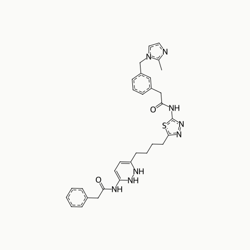 Cc1nccn1Cc1cccc(CC(=O)Nc2nnc(CCCCC3=CC=C(NC(=O)Cc4ccccc4)NN3)s2)c1